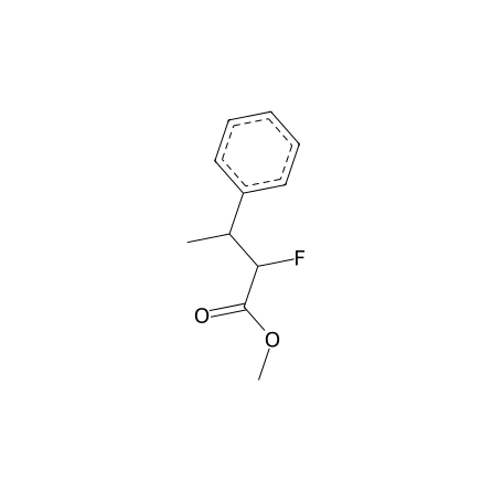 COC(=O)C(F)C(C)c1ccccc1